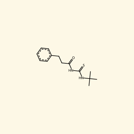 CC(C)(C)NC(=S)NC(=O)CCc1ccccc1